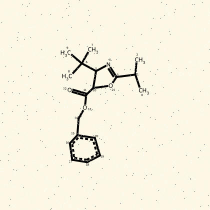 CC(C)C1=NC(C(C)(C)C)C(C(=O)OCc2ccccc2)O1